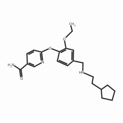 CCOc1cc(CNCCC2CCCC2)ccc1Oc1ccc(C(N)=O)cn1